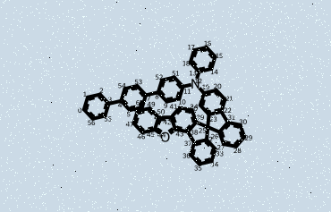 c1ccc(-c2ccc(-c3ccc(N(c4ccccc4)c4ccc5c(c4)C4(c6ccccc6-5)c5ccccc5-c5c4ccc4c5oc5ccccc54)cc3)cc2)cc1